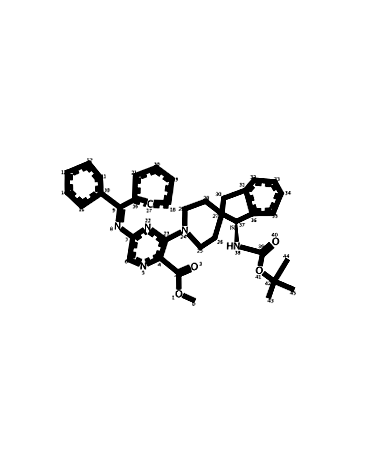 COC(=O)c1ncc(N=C(c2ccccc2)c2ccccc2)nc1N1CCC2(CC1)Cc1ccccc1[C@H]2NC(=O)OC(C)(C)C